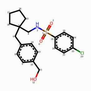 O=S(=O)(NCC1(Cc2ccc(CO)cc2)CCCC1)c1ccc(Cl)cc1